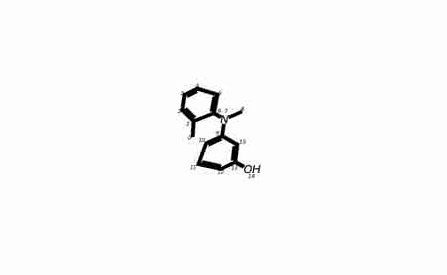 Cc1ccccc1N(C)c1cccc(O)c1